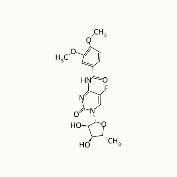 COc1ccc(C(=O)Nc2nc(=O)n([C@@H]3O[C@H](C)[C@@H](O)[C@H]3O)cc2F)cc1OC